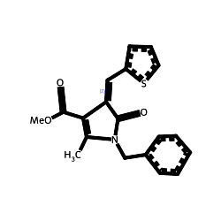 COC(=O)C1=C(C)N(Cc2ccccc2)C(=O)/C1=C\c1cccs1